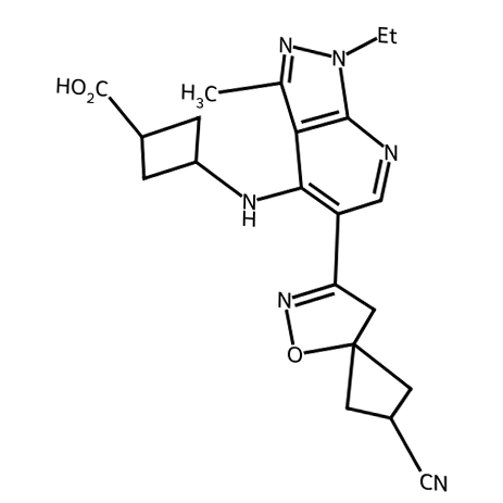 CCn1nc(C)c2c(NC3CC(C(=O)O)C3)c(C3=NOC4(C3)CC(C#N)C4)cnc21